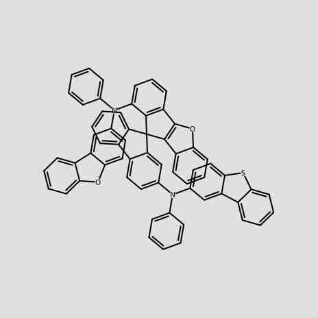 c1ccc(N(c2ccc3c(c2)C2(c4ccccc4-3)c3c(cccc3N(c3ccccc3)c3ccc4oc5ccccc5c4c3)-c3oc4ccccc4c32)c2ccc3sc4ccccc4c3c2)cc1